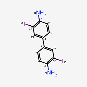 Nc1ccc(-c2ccc(N)c(I)c2)cc1I